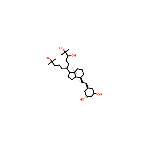 CC(C)(O)CCC[C@@H](CCC(O)C(C)(C)O)C1CCC2/C(=C/C=C3/CC(O)C[C@H](O)C3)CCC[C@@]21C